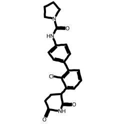 O=C1CCC(c2cccc(-c3ccc(NC(=O)N4CCCC4)cc3)c2Cl)C(=O)N1